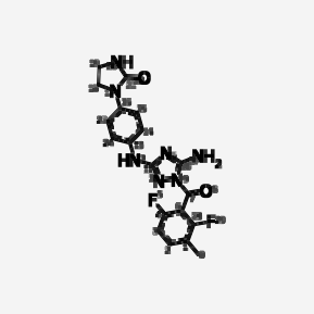 Cc1ccc(F)c(C(=O)n2nc(Nc3ccc(N4CCNC4=O)cc3)nc2N)c1F